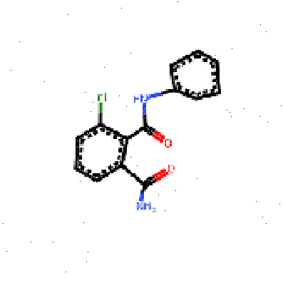 NC(=O)c1cccc(Cl)c1C(=O)Nc1ccccc1